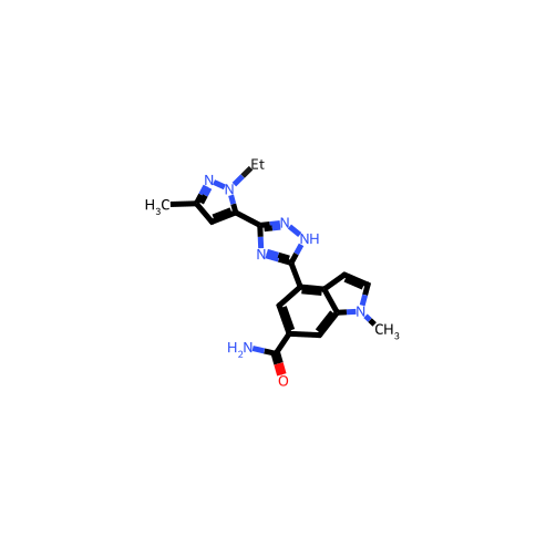 CCn1nc(C)cc1-c1n[nH]c(-c2cc(C(N)=O)cc3c2ccn3C)n1